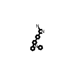 N#Cc1cncc(-c2ccc(-c3ccc4c5ccccc5n(-c5ccccc5)c4c3)cc2)c1